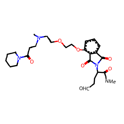 CNC(=O)C(CCC=O)N1C(=O)c2cccc(OCCOCCN(C)CCC(=O)N3CCCCC3)c2C1=O